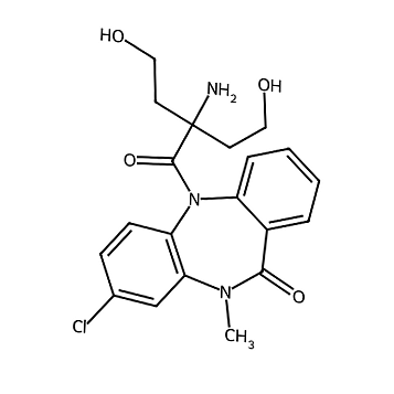 CN1C(=O)c2ccccc2N(C(=O)C(N)(CCO)CCO)c2ccc(Cl)cc21